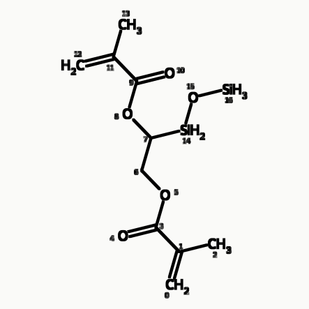 C=C(C)C(=O)OCC(OC(=O)C(=C)C)[SiH2]O[SiH3]